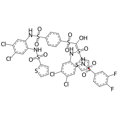 O=S(=O)(Nc1cc(Cl)c(Cl)cc1NS(=O)(=O)c1cccs1)c1ccc(S(=O)(=O)C(O)=S(=O)(Nc2cc(Cl)c(Cl)cc2NS(=O)(=O)c2ccc(F)c(F)c2)c2cccs2)cc1